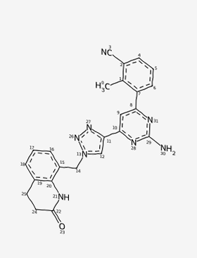 Cc1c(C#N)cccc1-c1cc(-c2cn(Cc3cccc4c3NC(=O)CC4)nn2)nc(N)n1